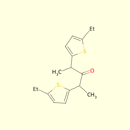 CCc1ccc(C(C)C(=O)C(C)c2ccc(CC)s2)s1